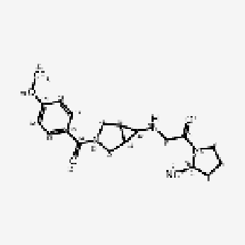 N#C[C@@H]1CCCN1C(=O)CNC1C2CN(C(=O)c3ccc(OC(F)(F)F)cc3)CC21